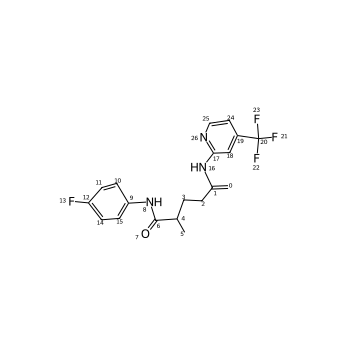 C=C(CCC(C)C(=O)Nc1ccc(F)cc1)Nc1cc(C(F)(F)F)ccn1